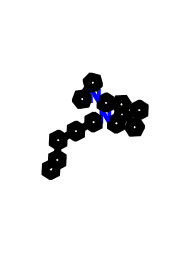 c1ccc(C2(c3ccccc3)c3ccccc3-c3c(N(c4ccc(-c5ccc(-c6cccc(-c7ccc8ccccc8c7)c6)cc5)cc4)c4cccc(-n5c6ccccc6c6ccccc65)c4)cccc32)cc1